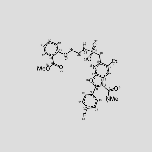 CCc1cc2c(C(=O)NC)c(-c3ccc(F)cc3)oc2nc1CS(=O)(=O)NCCOc1ccccc1C(=O)OC